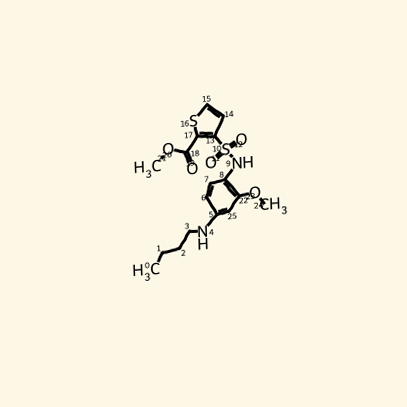 CCCCNc1ccc(NS(=O)(=O)c2ccsc2C(=O)OC)c(OC)c1